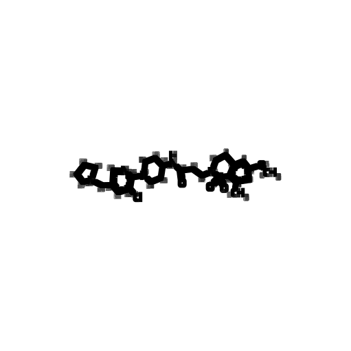 COc1cc(C)c2c(c1)CCN(CCC(=O)NC1CCN(c3ncc(CN4CCCC4)cc3Cl)CC1)S2(=O)=O